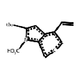 C=Cc1cccc2c1cc(C(C)(C)C)n2C(=O)O